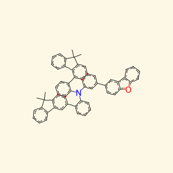 CC1(C)c2ccccc2-c2cc(-c3ccccc3N(c3cccc(-c4ccc5oc6ccccc6c5c4)c3)c3ccccc3-c3cccc4c3-c3ccccc3C4(C)C)ccc21